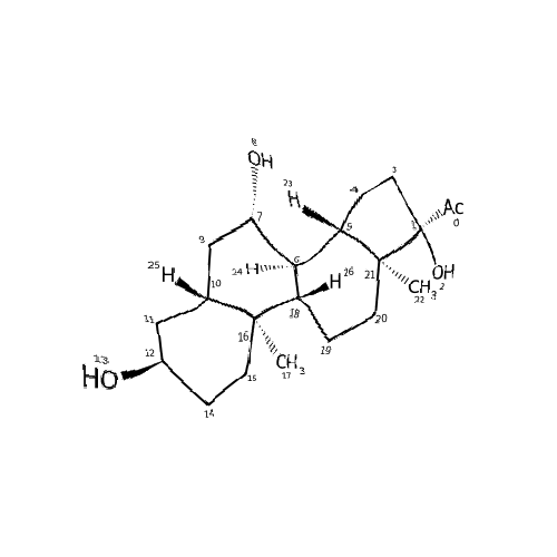 CC(=O)[C@@]1(O)CC[C@H]2[C@@H]3[C@@H](O)C[C@H]4C[C@H](O)CC[C@]4(C)[C@H]3CC[C@@]21C